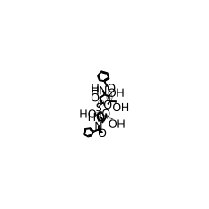 O=C(NC1C(O)[C@H](SC2O[C@H](CO)C3(O)C([C@H]2O)N3C(=O)c2ccccc2)OC(CO)[C@@H]1O)c1ccccc1